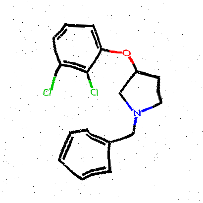 Clc1cccc(OC2CCN(Cc3ccccc3)C2)c1Cl